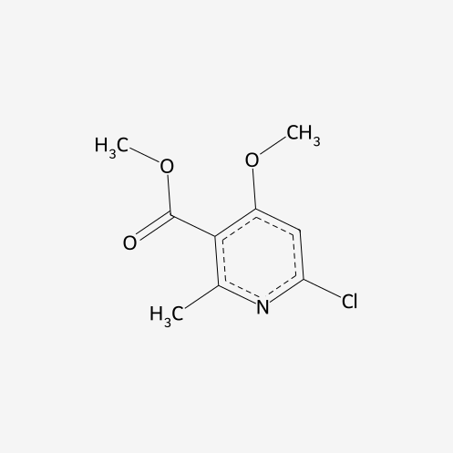 COC(=O)c1c(OC)cc(Cl)nc1C